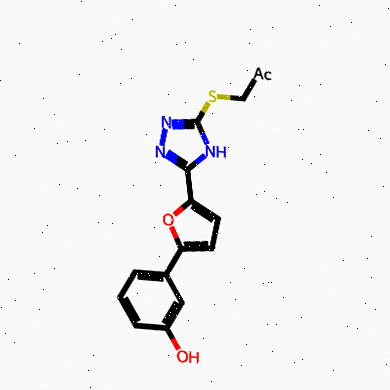 CC(=O)CSc1nnc(-c2ccc(-c3cccc(O)c3)o2)[nH]1